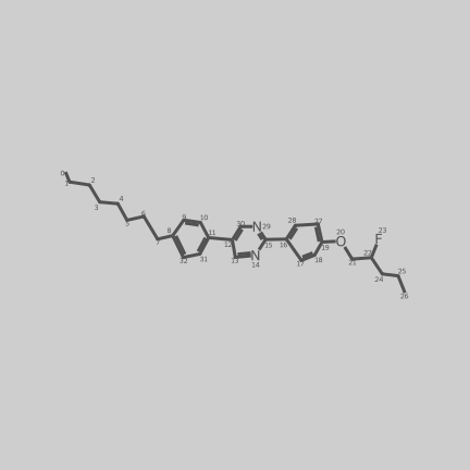 CCCCCCCCc1ccc(-c2cnc(-c3ccc(OCC(F)CCC)cc3)nc2)cc1